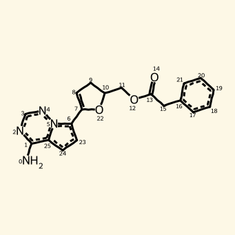 Nc1ncnn2c(C3=CCC(COC(=O)Cc4ccccc4)O3)ccc12